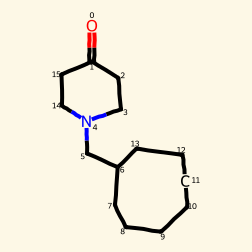 O=C1CCN(CC2CCCCCCC2)CC1